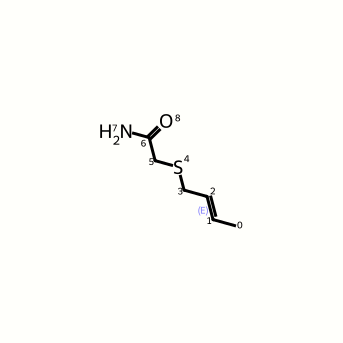 C/C=C/CSCC(N)=O